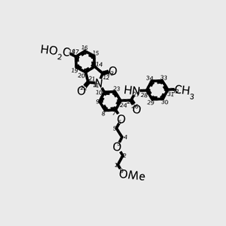 COCCOCCOc1ccc(N2C(=O)c3ccc(C(=O)O)cc3C2=O)cc1C(=O)Nc1ccc(C)cc1